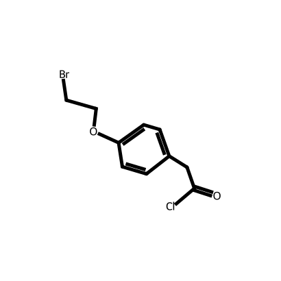 O=C(Cl)Cc1ccc(OCCBr)cc1